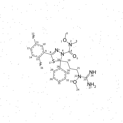 CON(C)C(=O)N1N=C(c2cc(F)ccc2F)SC1(CCCN(OC)C(=N)N)c1ccccc1